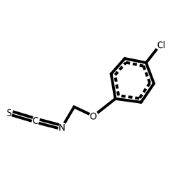 S=C=NCOc1ccc(Cl)cc1